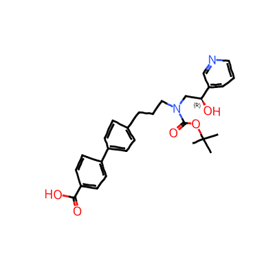 CC(C)(C)OC(=O)N(CCCc1ccc(-c2ccc(C(=O)O)cc2)cc1)C[C@H](O)c1cccnc1